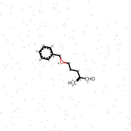 C=C(C=O)CCCOCc1ccccc1